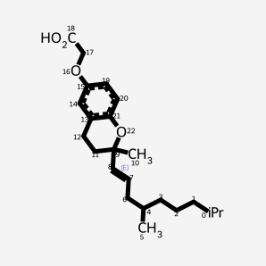 CC(C)CCCC(C)C/C=C/C1(C)CCc2cc(OCC(=O)O)ccc2O1